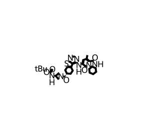 Cc1cc(Nc2ncnc3sc4c(c23)CC[C@H](C(=O)N2CC(NC(=O)OC(C)(C)C)C2)C4)c(=O)n2c1C(=O)NC21CCCCC1